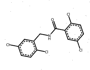 O=C(NCc1cc(Cl)ccc1Cl)c1cc(Cl)ccc1Cl